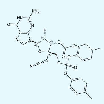 Cc1ccc(OP(=O)(OC[C@@]2(N=[N+]=[N-])O[C@@H](n3cnc4c(=O)[nH]c(N)nc43)[C@H](F)[C@@H]2OC(=O)C(C)C)Oc2ccc(C)cc2)cc1